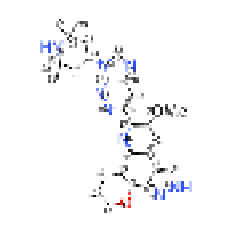 COc1cc(-c2c[nH]nc2C2CCCCO2)cnc1-c1cc2ncn(C3CC(C)(C)NC(C)(C)C3)c2nn1